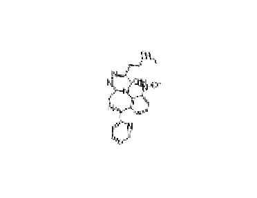 CCCC1=NN=C2CN=C(c3ccccn3)c3cccc([N+](=O)[O-])c3N2C1O